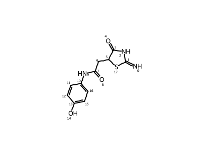 N=C1NC(=O)C(CC(=O)Nc2ccc(O)cc2)S1